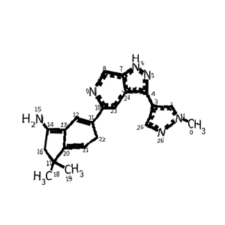 Cn1cc(-c2n[nH]c3cnc(C4=CC5=C(N)CC(C)(C)C5=CC4)cc23)cn1